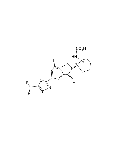 O=C(O)N[C@@H]1CCCC[C@H]1N1Cc2c(F)cc(-c3nnc(C(F)F)o3)cc2C1=O